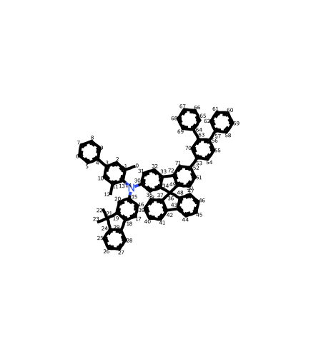 Cc1cc(-c2ccccc2)cc(C)c1N(c1ccc2c(c1)C(C)(C)c1ccccc1-2)c1ccc2c(c1)C1(c3ccccc3-c3ccccc31)c1ccc(-c3ccc(-c4ccccc4)c(-c4ccccc4)c3)cc1-2